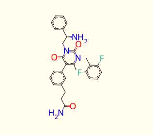 Cc1c(-c2cccc(CCC(N)=O)c2)c(=O)n(C[C@H](N)c2ccccc2)c(=O)n1Cc1c(F)cccc1F